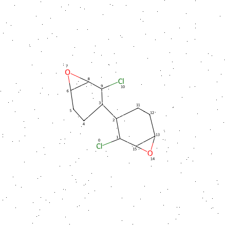 ClC1C(C2CCC3OC3C2Cl)CCC2OC21